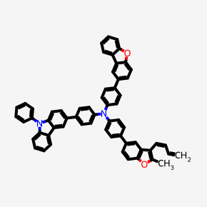 C=C/C=C\c1c(C)oc2ccc(-c3ccc(N(c4ccc(-c5ccc6oc7ccccc7c6c5)cc4)c4ccc(-c5ccc6c(c5)c5ccccc5n6-c5ccccc5)cc4)cc3)cc12